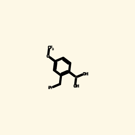 CC(C)Cc1cc(OC(F)(F)F)ccc1B(O)O